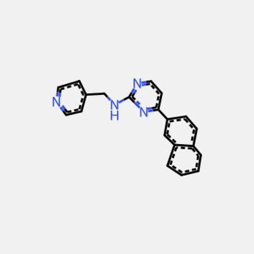 c1ccc2cc(-c3ccnc(NCc4ccncc4)n3)ccc2c1